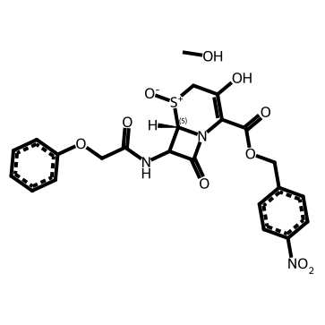 CO.O=C(COc1ccccc1)NC1C(=O)N2C(C(=O)OCc3ccc([N+](=O)[O-])cc3)=C(O)C[S+]([O-])[C@@H]12